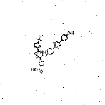 CC(C)(C)c1ccc(C(=O)N[C@@H](Cc2ccc(-c3ncc(-c4ccc(O)cc4)cn3)cc2)C(=O)N2CC[C@H](C(=O)O)C2)s1